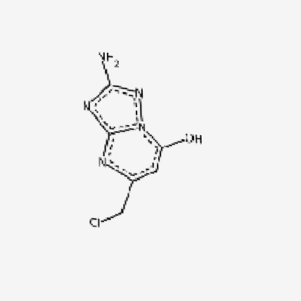 Nc1nc2nc(CCl)cc(O)n2n1